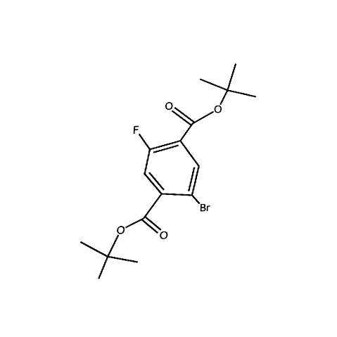 CC(C)(C)OC(=O)c1cc(Br)c(C(=O)OC(C)(C)C)cc1F